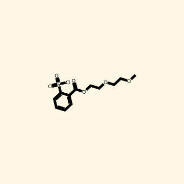 COCCOCCOC(=O)c1ccccc1S(=O)(=O)Cl